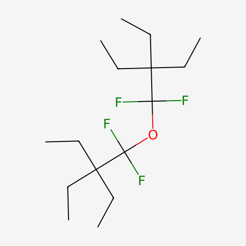 CCC(CC)(CC)C(F)(F)OC(F)(F)C(CC)(CC)CC